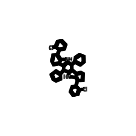 Clc1ccccc1-c1cccc2c3c([nH]c12)C(c1ccccc1)c1c([nH]c2c(-c4ccccc4Cl)cccc12)C3c1ccccc1